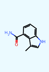 Cc1c[nH]c2cccc(C(N)=O)c12